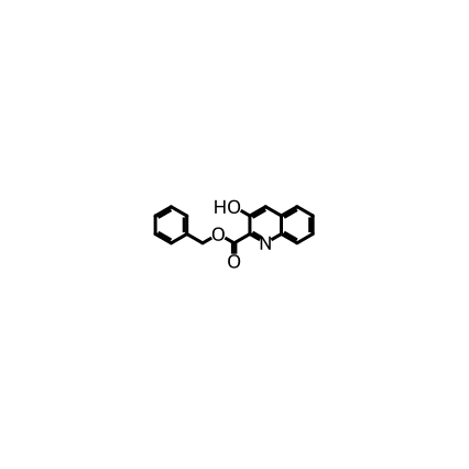 O=C(OCc1ccccc1)c1nc2ccccc2cc1O